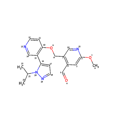 COc1cc(C=O)c(COc2ccncc2-c2ccnn2C(C)C)cn1